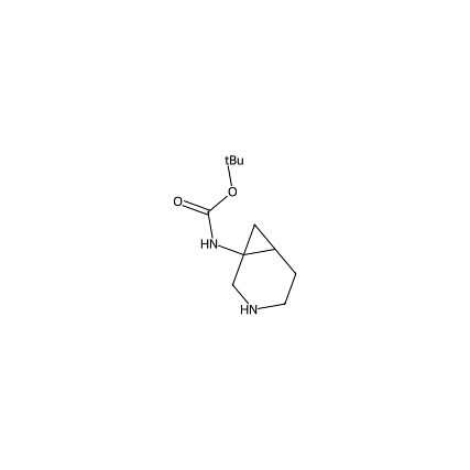 CC(C)(C)OC(=O)NC12CNCCC1C2